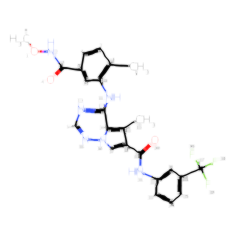 CONC(=O)c1ccc(C)c(Nc2ncnn3cc(C(=O)Nc4cccc(C(F)(F)F)c4)c(C)c23)c1